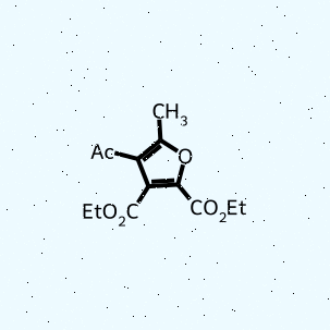 CCOC(=O)c1oc(C)c(C(C)=O)c1C(=O)OCC